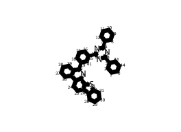 c1ccc(-c2nc(-c3ccccc3)nc(-c3cccc(-c4nc5c(ccc6c7ccccc7sc65)c5ccccc45)c3)n2)cc1